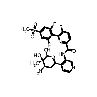 C[C@H]1O[C@@H](c2ccncc2NC(=O)c2ccc(F)c(-c3c(F)cc(S(C)(=O)=O)cc3F)n2)C[C@@H](N)[C@]1(C)O